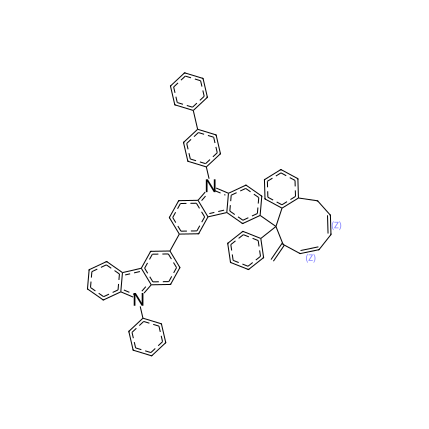 C=C1/C=C\C=C/Cc2ccccc2C1(c1ccccc1)c1ccc2c(c1)c1cc(-c3ccc4c(c3)c3ccccc3n4-c3ccccc3)ccc1n2-c1ccc(-c2ccccc2)cc1